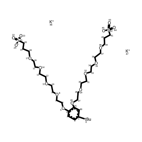 CC(C)(C)c1ccc(OCCOCCOCCOCCOCCCS(=O)(=O)[O-])c(OCCOCCOCCOCCOCCCS(=O)(=O)[O-])c1.[K+].[K+]